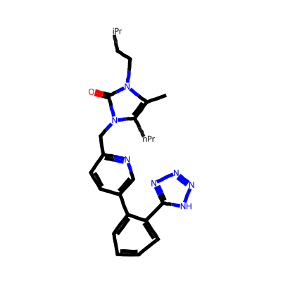 CCCc1c(C)n(CCC(C)C)c(=O)n1Cc1ccc(-c2ccccc2-c2nnn[nH]2)cn1